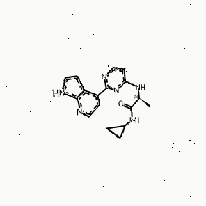 C[C@H](Nc1ccnc(-c2ccnc3[nH]ccc23)n1)C(=O)NC1CC1